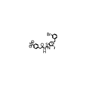 CC[C@@H]1c2nc(NC(=O)Cc3ccc(S(C)(=O)=O)cc3)sc2CN1Cc1cccc(Br)c1